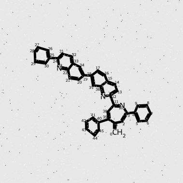 C=C1C=C(c2ccccc2)N=C(c2ccc3ccc(-c4ccc5nc(-c6ccccc6)ccc5c4)cc3n2)C=C1c1ccccc1